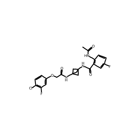 CC(=O)Nc1ccc(F)cc1C(=O)NC12CC(NC(=O)COc3ccc(Cl)c(F)c3)(C1)C2